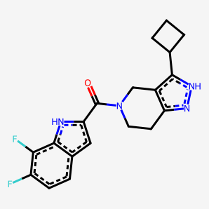 O=C(c1cc2ccc(F)c(F)c2[nH]1)N1CCc2n[nH]c(C3CCC3)c2C1